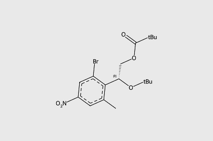 Cc1cc([N+](=O)[O-])cc(Br)c1[C@H](COC(=O)C(C)(C)C)OC(C)(C)C